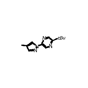 Cc1cnn(-c2cnc(C(C)(C)C)cn2)c1